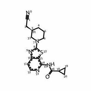 N#CC[C@H]1CCCN(c2nc3ccnc(NC(=O)C4CC4)c3s2)C1